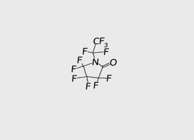 O=C1N(C(F)(F)C(F)(F)F)C(F)(F)C(F)(F)C1(F)F